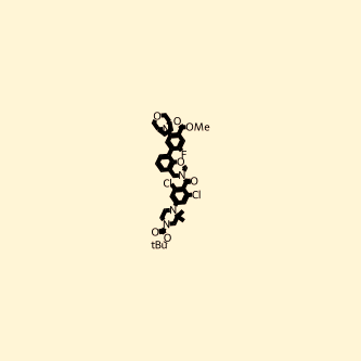 COC(=O)c1cc(F)c(-c2cccc3c2OCN(C(=O)c2c(Cl)cc(N4CCN(C(=O)OC(C)(C)C)CC4(C)C)cc2Cl)C3)cc1N1C2CCC1COC2